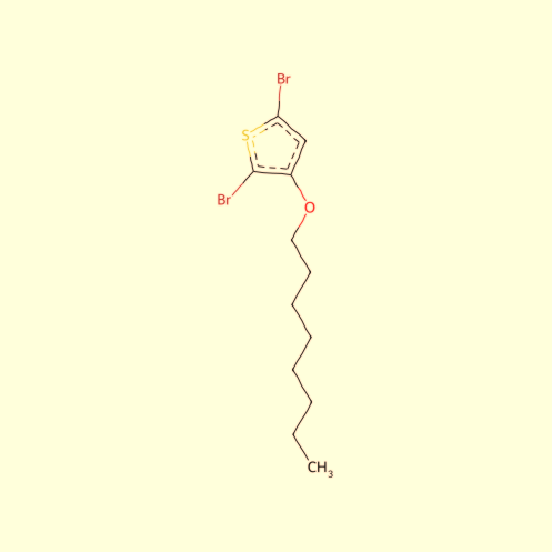 CCCCCCCCOc1cc(Br)sc1Br